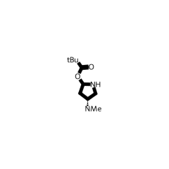 CN[C@H]1CNC(OC(=O)C(C)(C)C)C1